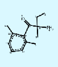 CCC(C)(P)C(=O)c1c(C)cccc1C